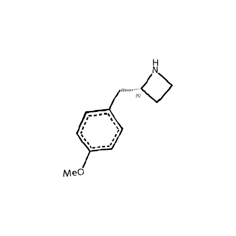 COc1ccc(C[C@H]2CCN2)cc1